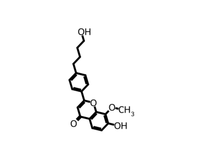 COc1c(O)ccc2c(=O)cc(-c3ccc(CCCCO)cc3)oc12